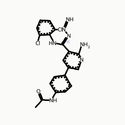 CC(=O)Nc1ccc(-c2cnc(N)c(/C(=N/N=N)Nc3c(Cl)cccc3Cl)c2)cc1